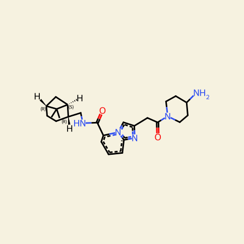 CC1(C)[C@@H]2CC[C@@H](CNC(=O)c3cccc4nc(CC(=O)N5CCC(N)CC5)cn34)[C@@H]1C2